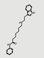 O=C(CCCCCCNCCc1c[nH]c2ccccc12)Nc1ccccc1